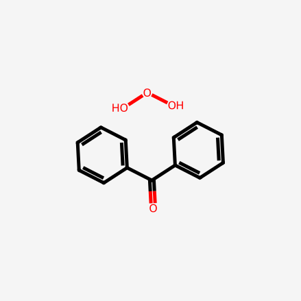 O=C(c1ccccc1)c1ccccc1.OOO